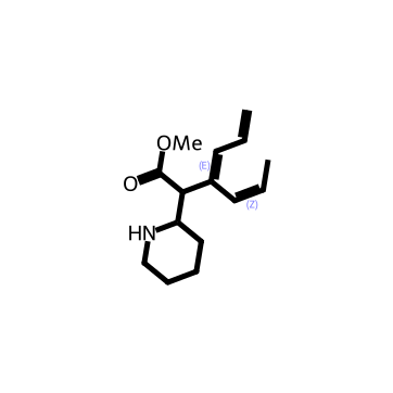 C=C/C=C(\C=C/C)C(C(=O)OC)C1CCCCN1